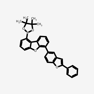 CC1(C)OB(c2cccc3oc4c(-c5ccc6oc(-c7ccccc7)cc6c5)cccc4c23)OC1(C)C